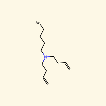 C=CCCN(CCC=C)CCCCC(C)=O